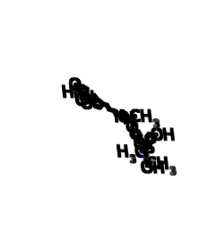 C/C(O)=C\C=C(/C)c1sc2cc(O)ccc2c1Oc1ccc(OCC(C)N2CCN(CCCCc3ccc4c(c3)CN(C3CCC(=O)NC3=O)C4=O)CC2)cc1